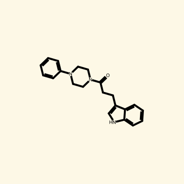 O=C(CCc1c[nH]c2ccccc12)N1CCN(c2ccccc2)CC1